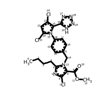 CCCCc1nc(Cl)c(C(=O)OC)n1Cc1ccc(-n2c(Cl)cc(Cl)c2-c2nnn[nH]2)cc1